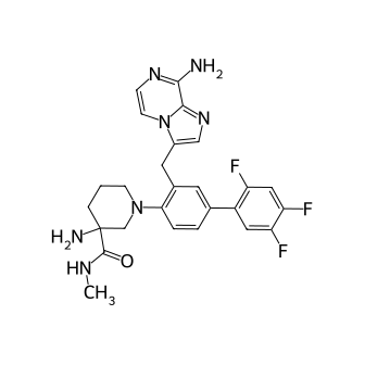 CNC(=O)C1(N)CCCN(c2ccc(-c3cc(F)c(F)cc3F)cc2Cc2cnc3c(N)nccn23)C1